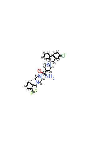 N[C@@H](C(=O)N1CCN(Cc2ccccc2C(F)F)CC1)C1CCN(CCc2cc(Cl)ccc2-c2ccccc2)CC1